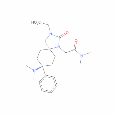 CN(C)C(=O)CN1C(=O)N(CC(=O)O)C[C@]12CC[C@](c1ccccc1)(N(C)C)CC2